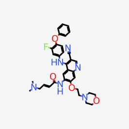 CN(C)CC=CC(=O)Nc1cc2c(Nc3ccc(Oc4ccccc4)c(F)c3)c(C#N)cnc2cc1OCCN1CCOCC1